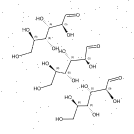 O=C[C@@H](O)[C@@H](O)[C@H](O)[C@H](O)CO.O=C[C@@H](O)[C@@H](O)[C@H](O)[C@H](O)CO.O=C[C@@H](O)[C@@H](O)[C@H](O)[C@H](O)CO